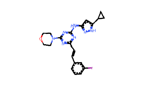 Ic1cccc(/C=C/c2nc(Nc3cc(C4CC4)[nH]n3)nc(N3CCOCC3)n2)c1